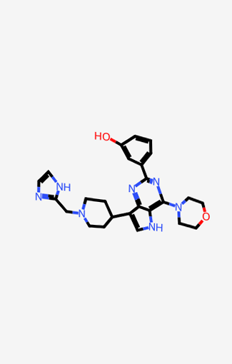 Oc1cccc(-c2nc(N3CCOCC3)c3[nH]cc(C4CCN(Cc5ncc[nH]5)CC4)c3n2)c1